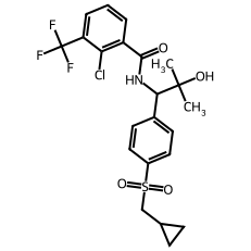 CC(C)(O)C(NC(=O)c1cccc(C(F)(F)F)c1Cl)c1ccc(S(=O)(=O)CC2CC2)cc1